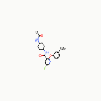 CCC(=O)NC1CCC(NC(=O)c2cc(F)cnc2Oc2cccc(SC)c2)CC1